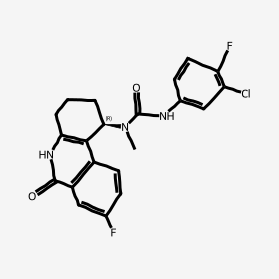 CN(C(=O)Nc1ccc(F)c(Cl)c1)[C@@H]1CCCc2[nH]c(=O)c3cc(F)ccc3c21